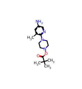 Cc1cc(N)cnc1N1CCN(OC(=O)C(C)(C)C)CC1